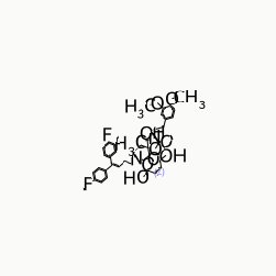 COc1ccc(CCN2C(=O)OC3(CCN(CCC=C(c4ccc(F)cc4)c4ccc(F)cc4)CC3)C2(C)O)cc1OC.O=C(O)/C=C\C(=O)O